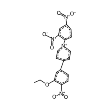 CCOc1cc(-c2cc[n+](-c3ccc([N+](=O)[O-])cc3[N+](=O)[O-])cc2)ccc1[N+](=O)[O-]